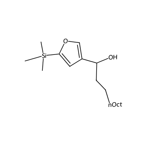 CCCCCCCCCCC(O)c1coc([Si](C)(C)C)c1